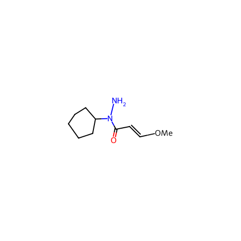 COC=CC(=O)N(N)C1CCCCC1